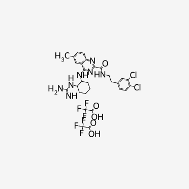 Cc1ccc2nc(C(=O)NCCc3ccc(Cl)c(Cl)c3)nc(NC3CCCCC3NC(=N)N)c2c1.O=C(O)C(F)(F)F.O=C(O)C(F)(F)F